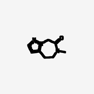 CN1CCc2ccnn2CC1=O